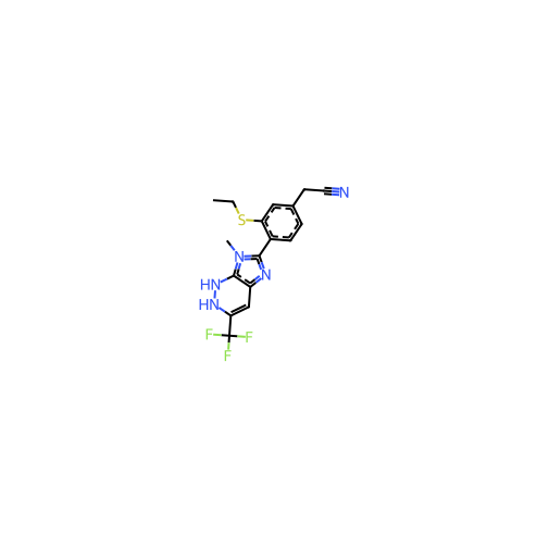 CCSc1cc(CC#N)ccc1-c1nc2c(n1C)NNC(C(F)(F)F)=C2